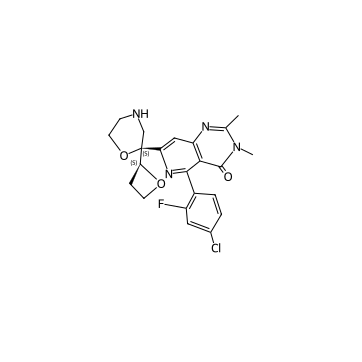 Cc1nc2cc([C@]3([C@@H]4CCO4)CNCCO3)nc(-c3ccc(Cl)cc3F)c2c(=O)n1C